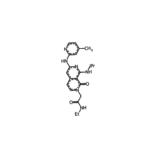 CCNC(=O)Cn1ccc2cc(Nc3cc(C)ccn3)nc(NC(C)C)c2c1=O